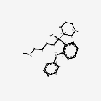 COCCCCC(O)(c1ccccc1Oc1ccccc1)[C@@H]1CCCNC1